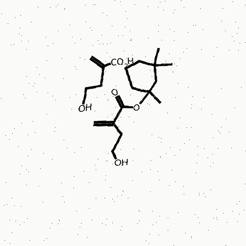 C=C(CCO)C(=O)O.C=C(CCO)C(=O)OC1(C)CCCC(C)(C)C1